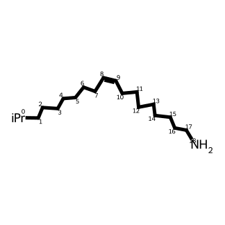 CC(C)CCCCCCC/C=C\CCCCCCCCN